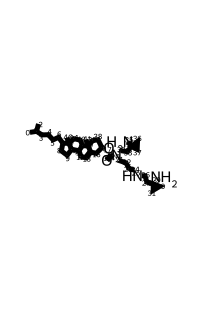 CC(C)CCCCC1CCC2C3CC=C4CC(OC(=O)N(CCCCNCCC5(N)CC5)CCC5(N)CC5)CCC4(C)C3CCC12C